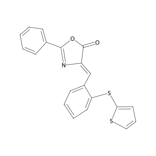 O=C1OC(c2ccccc2)=NC1=Cc1ccccc1Sc1cccs1